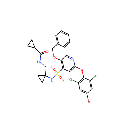 O=C(NCC1(NS(=O)(=O)c2cc(Oc3c(Cl)cc(Br)cc3Cl)ncc2OCc2ccccc2)CC1)C1CC1